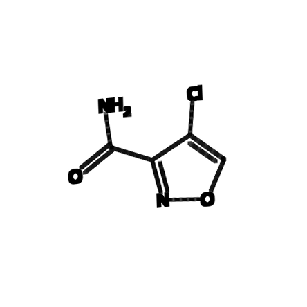 NC(=O)c1nocc1Cl